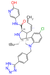 C=C/C=C\C1[C@H](C(=O)Nc2ccc(O)nc2)N[C@@H](CC(C)(C)C)[C@@]12CN(Cc1ccc(-c3nnn[nH]3)cc1)c1ccc(Cl)cc12